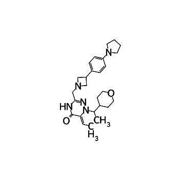 C/C=C1/C(=O)NC(CN2CC(c3ccc(N4CCCC4)cc3)C2)=NN1C(C)C1CCOCC1